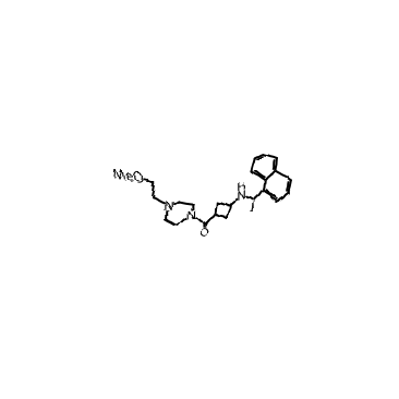 COCCN1CCN(C(=O)C2CC(N[C@H](C)c3cccc4ccccc34)C2)CC1